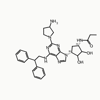 CCC(=O)N[C@H]1C[C@@H](n2cnc3c(NCC(c4ccccc4)c4ccccc4)nc(N4CCC(N)C4)nc32)C(O)C1O